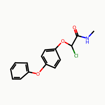 CNC(=O)C(Cl)Oc1ccc(Oc2ccccc2)cc1